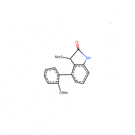 COc1ccccc1-c1cccc2c1C(SC)C(=O)N2